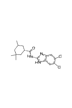 CC1CC(C(=O)Nc2nc3cc(Cl)c(Cl)cc3[nH]2)CC(C)(C)C1